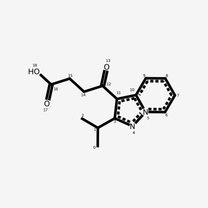 CC(C)c1nn2ccccc2c1C(=O)CCC(=O)O